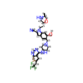 C=C1CO[C@H](CCn2c(C#N)cc3cc(CN4CCC(Nc5ncnc6sc(CC(F)(F)F)cc56)CC4)c(OC)cc32)CN1